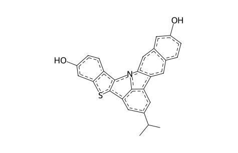 CC(C)c1cc2c3cc4ccc(O)cc4cc3n3c2c(c1)c1sc2cc(O)ccc2c13